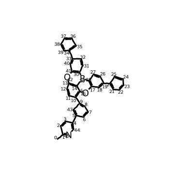 Cc1ccc(-c2cccc(-c3ccc4c5c3Oc3cc(-c6ccccc6)ccc3B5c3ccc(-c5ccccc5)cc3O4)c2)cn1